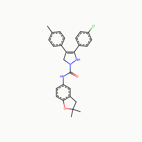 Cc1ccc(C2=C(c3ccc(Cl)cc3)NN(C(=O)Nc3ccc4c(c3)CC(C)(C)O4)C2)cc1